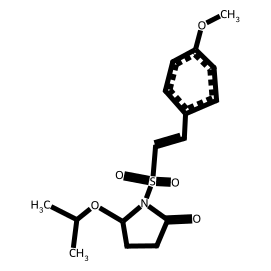 COc1ccc(C=CS(=O)(=O)N2C(=O)CCC2OC(C)C)cc1